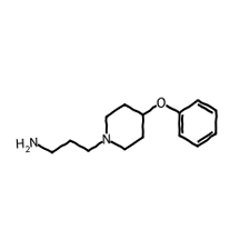 NCCCN1CCC(Oc2ccccc2)CC1